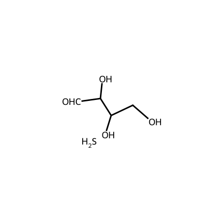 O=CC(O)C(O)CO.S